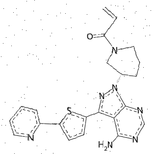 C=CC(=O)N1CCC[C@H](n2nc(-c3ccc(-c4ccccn4)s3)c3c(N)ncnc32)C1